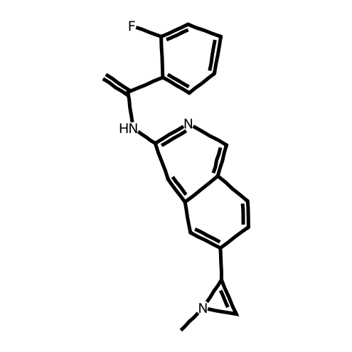 C=C(Nc1cc2cc(C3=CN3C)ccc2cn1)c1ccccc1F